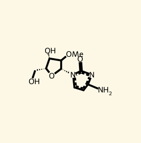 COC1[C@@H](O)[C@@H](CO)O[C@H]1n1ccc(N)nc1=O